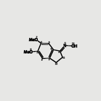 COc1cc2c(cc1OC)/C(=N/O)CC2